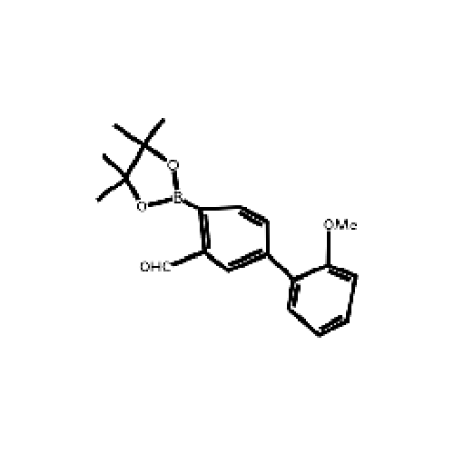 COc1ccccc1-c1ccc(B2OC(C)(C)C(C)(C)O2)c(C=O)c1